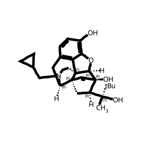 CC(C)(C)[C@@](C)(O)[C@H]1C[C@@]23C=C[C@]1(O)[C@@H]1Oc4c(O)ccc5c4[C@@]12CCN(CC1CC1)[C@@H]3C5